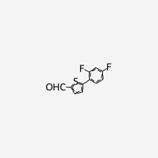 O=Cc1ccc(-c2ccc(F)cc2F)s1